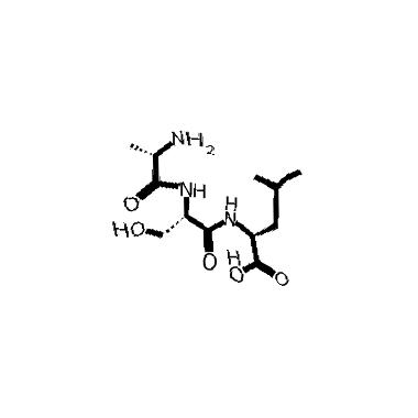 CC(C)C[C@H](NC(=O)[C@H](CO)NC(=O)[C@H](C)N)C(=O)O